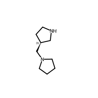 C1CCN(C[C@H]2CCNC2)C1